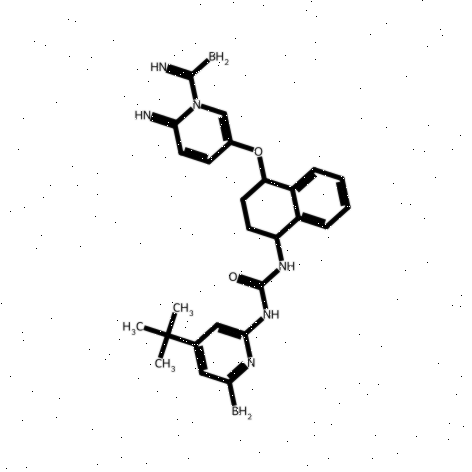 BC(=N)n1cc(OC2CCC(NC(=O)Nc3cc(C(C)(C)C)cc(B)n3)c3ccccc32)ccc1=N